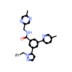 Cc1ccc(-c2cc(C(=O)NCc3cnc(C)cn3)cc(-c3ccnn3CC(C)C)c2)nc1